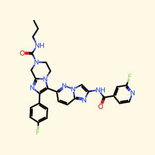 CCCNC(=O)N1CCn2c(nc(-c3ccc(F)cc3)c2-c2ccc3nc(NC(=O)c4ccnc(F)c4)cn3n2)C1